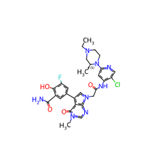 CCN1CCN(c2cc(NC(=O)Cn3cc(-c4cc(F)c(O)c(C(N)=O)c4)c4c(=O)n(C)cnc43)c(Cl)cn2)[C@@H](C)C1